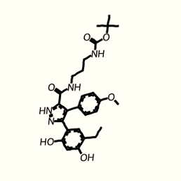 CCc1cc(-c2n[nH]c(C(=O)NCCCNC(=O)OC(C)(C)C)c2-c2ccc(OC)cc2)c(O)cc1O